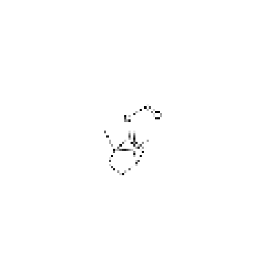 CC(=O)OC1=CC2CCC1(C)C2(C)C